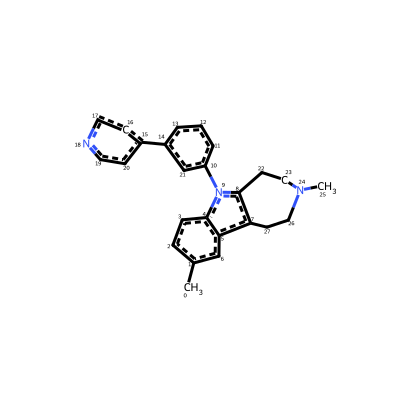 Cc1ccc2c(c1)c1c(n2-c2cccc(-c3ccncc3)c2)CCN(C)CC1